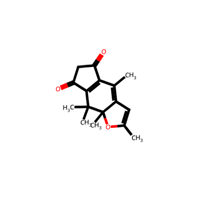 CC1=CC2=C(C)C3=C(C(=O)CC3=O)C(C)(C)C2(C)O1